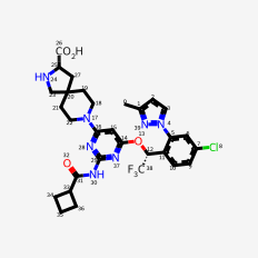 Cc1ccn(-c2cc(Cl)ccc2[C@@H](Oc2cc(N3CCC4(CC3)CNC(C(=O)O)C4)nc(NC(=O)C3CCC3)n2)C(F)(F)F)n1